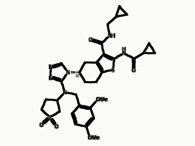 COc1ccc(CN(c2nncn2[C@H]2CCc3sc(NC(=O)C4CC4)c(C(=O)NCC4CC4)c3C2)C2CCS(=O)(=O)C2)c(OC)c1